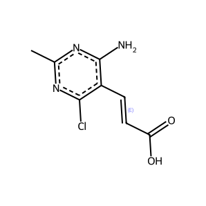 Cc1nc(N)c(/C=C/C(=O)O)c(Cl)n1